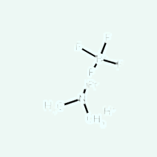 CC(C)N(C)C.F[B-](F)(F)F.[H+]